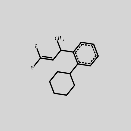 CC(C=C(F)F)c1ccccc1C1CCCCC1